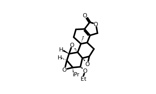 CCO[C@@H]1[C@@]2(C(C)C)O[C@H]2[C@@H]2O[C@@]23[C@@]2(C)CCC4=C(COC4=O)C2CC2O[C@]213